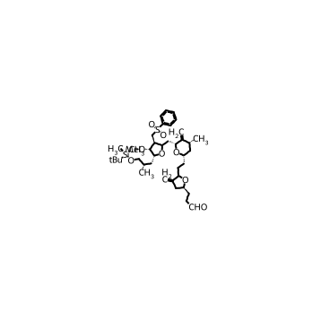 C=C1C[C@H](CCC=O)OC1CC[C@H]1C[C@@H](C)C(=C)[C@@H](CC2O[C@H](C[C@H](C)CO[Si](C)(C)C(C)(C)C)[C@H](OC)[C@H]2CS(=O)(=O)c2ccccc2)O1